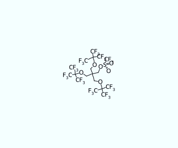 O=S(=O)(OCC(COC(C(F)(F)F)(C(F)(F)F)C(F)(F)F)(COC(C(F)(F)F)(C(F)(F)F)C(F)(F)F)COC(C(F)(F)F)(C(F)(F)F)C(F)(F)F)C(F)(F)F